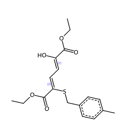 CCOC(=O)/C(O)=C/C=C(\SCc1ccc(C)cc1)C(=O)OCC